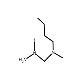 CN(CCCI)CN(N)I